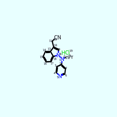 CCCN(c1ccncc1)n1cc(CC#N)c2ccccc21.Cl